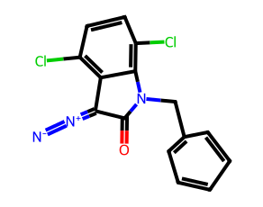 [N-]=[N+]=C1C(=O)N(Cc2ccccc2)c2c(Cl)ccc(Cl)c21